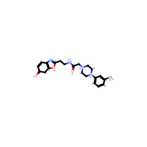 O=C1C=Cc2nc(CCNC(=O)CN3CCN(c4cccc(C(F)(F)F)c4)CC3)oc2C1